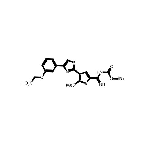 CSc1sc(C(=N)NC(=O)OC(C)(C)C)cc1-c1nc(-c2cccc(OCC(=O)O)c2)cs1